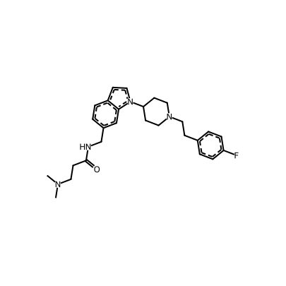 CN(C)CCC(=O)NCc1ccc2ccn(C3CCN(CCc4ccc(F)cc4)CC3)c2c1